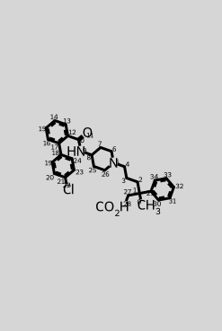 CC(CCCN1CCC(NC(=O)c2ccccc2-c2ccc(Cl)cc2)CC1)(CC(=O)O)c1ccccc1